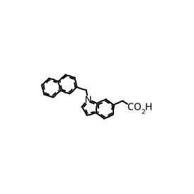 O=C(O)Cc1ccc2ccn(Cc3ccc4ccccc4c3)c2c1